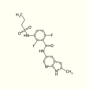 CCCS(=O)(=O)Nc1ccc(F)c(C(=O)Nc2cnc3[nH]c(C)cc3c2)c1F